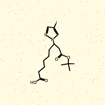 CC(C)(C)OC(=O)CC(CCCCCC(=O)O)n1cc(I)cn1